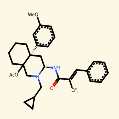 COc1cccc([C@@]23CCCCC2(OC(C)=O)CN(CC2CC2)[C@H](NC(=O)C(=Cc2ccccc2)C(F)(F)F)C3)c1